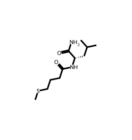 CSCCCC(=O)N[C@@H](CC(C)C)C(N)=O